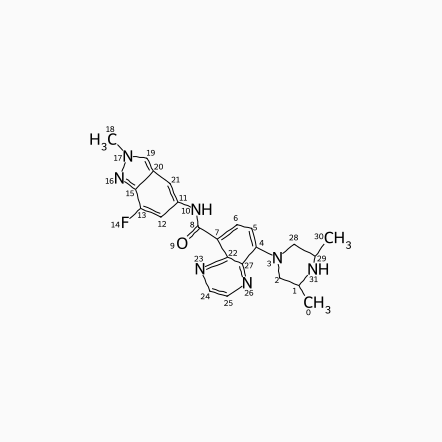 CC1CN(c2ccc(C(=O)Nc3cc(F)c4nn(C)cc4c3)c3nccnc23)CC(C)N1